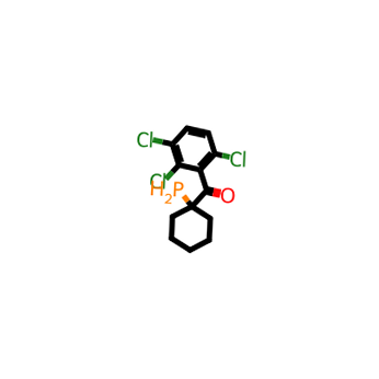 O=C(c1c(Cl)ccc(Cl)c1Cl)C1(P)CCCCC1